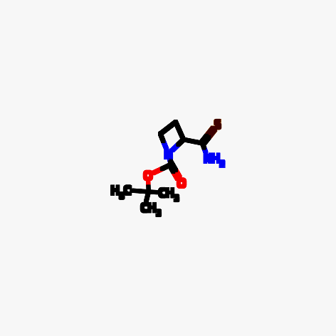 CC(C)(C)OC(=O)N1CCC1C(N)=S